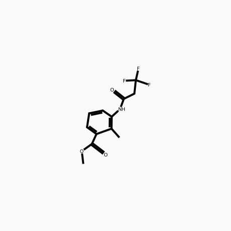 COC(=O)c1cccc(NC(=O)CC(F)(F)F)c1C